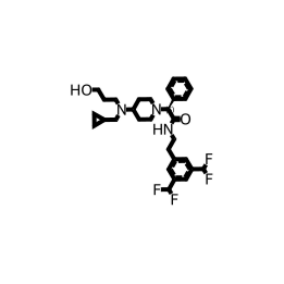 O=C(NCCc1cc(C(F)F)cc(C(F)F)c1)[C@H](c1ccccc1)N1CCC(N(CCCO)CC2CC2)CC1